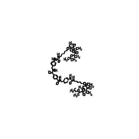 CCOC(C)C(=O)OC(C)C(=O)C(C)(C)OCCCCCNC(=O)Nc1ccc(CNC(=O)c2ccc(C(=O)NCc3ccc(NC(=O)NCCCCCOC(C)(C)C(=O)C(C)OC(=O)C(C)OC(C)C)cc3)cc2)cc1